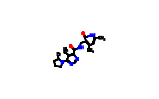 CCC1CCCN1c1ncnc(C(=O)NCc2c(C)cc(C)[nH]c2=O)c1C